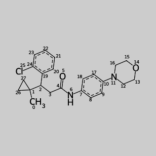 CC1(C(CC(=O)Nc2ccc(N3CCOCC3)cc2)c2ccccc2Cl)CC1